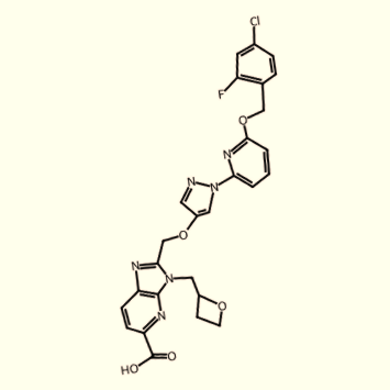 O=C(O)c1ccc2nc(COc3cnn(-c4cccc(OCc5ccc(Cl)cc5F)n4)c3)n(CC3CCO3)c2n1